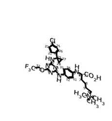 C[N+](C)(C)CCCC[C@H](Nc1ccc(Nc2nc(NC3(c4ccc(Cl)cc4)CC3)nc(OCC(F)(F)F)n2)cc1)C(=O)O